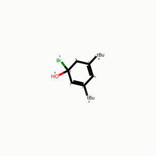 CC(C)(C)C1=CC(O)(Br)CC(C(C)(C)C)=C1